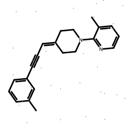 Cc1cccc(C#CC=C2CCN(c3ncccc3C)CC2)c1